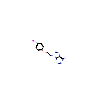 Nc1ncnc2c1ncn2CCOc1ccc([N+](=O)[O-])cc1